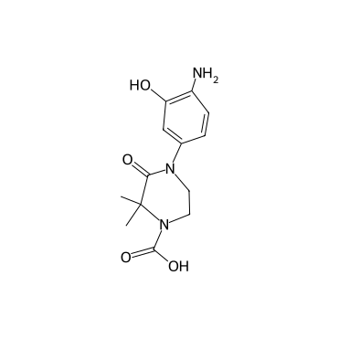 CC1(C)C(=O)N(c2ccc(N)c(O)c2)CCN1C(=O)O